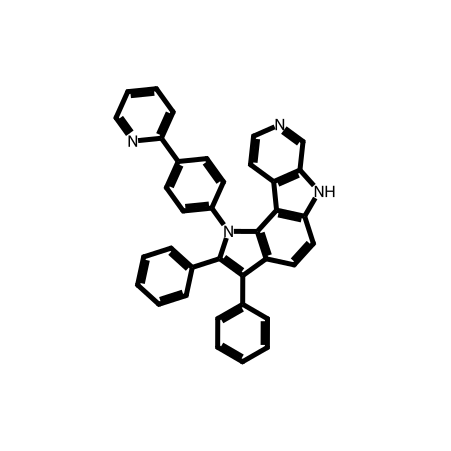 c1ccc(-c2c(-c3ccccc3)n(-c3ccc(-c4ccccn4)cc3)c3c2ccc2[nH]c4cnccc4c23)cc1